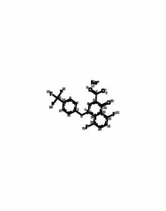 O=C([O-])c1cn(Cc2ccc(C(F)(F)F)cc2)c2c(F)ccc(F)c2c1=O.[Na+]